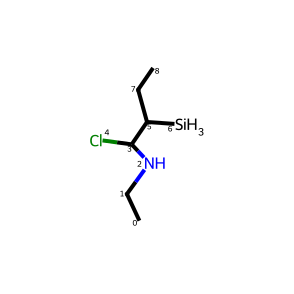 CCNC(Cl)C([SiH3])CC